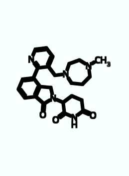 CN1CCCN(Cc2cccnc2-c2cccc3c2CN(C2CCC(=O)NC2=O)C3=O)CC1